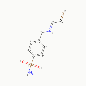 NS(=O)(=O)c1ccc(CN=CC=S)cc1